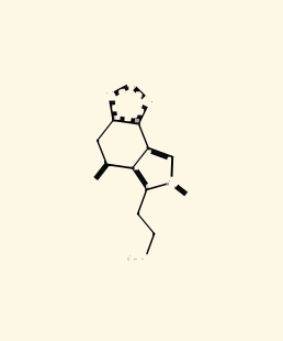 CCCCCCCCCCCC1=C2C(=O)Cc3nsnc3C2=C[N+]1=O